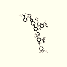 CC(C)c1ccccc1[C@@H]1CCC[C@@H]1N1CC2(CCN(c3ccc(C(=O)NS(=O)(=O)c4ccc(NC[C@H]5CC[C@](C)(O)CC5)c([N+](=O)[O-])c4)c(Oc4cc5c(F)c[nH]c5nc4OCCN4CCC4)c3)CC2)C1